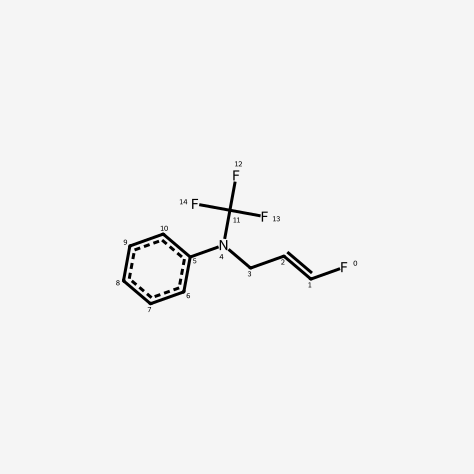 FC=CCN(c1ccccc1)C(F)(F)F